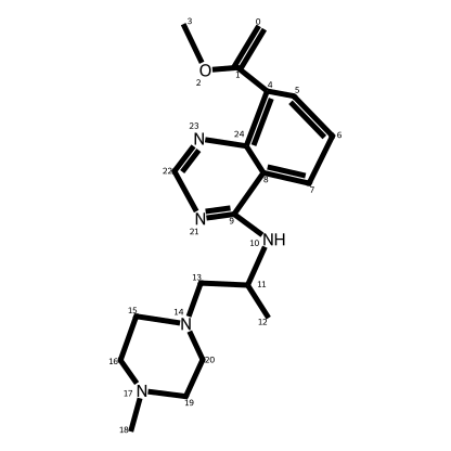 C=C(OC)c1cccc2c(NC(C)CN3CCN(C)CC3)ncnc12